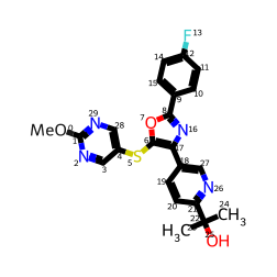 COc1ncc(Sc2oc(-c3ccc(F)cc3)nc2-c2ccc(C(C)(C)O)nc2)cn1